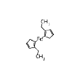 CCC1=[C]([Fe][C]2=C(CC)C=CC2)CC=C1